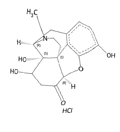 CN1CC[C@]23c4c5ccc(O)c4O[C@H]2C(=O)CC(O)[C@@]3(O)[C@H]1C5.Cl